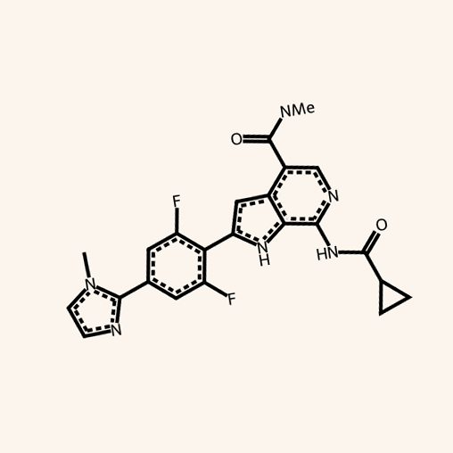 CNC(=O)c1cnc(NC(=O)C2CC2)c2[nH]c(-c3c(F)cc(-c4nccn4C)cc3F)cc12